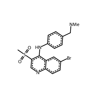 CNCc1ccc(Nc2c(S(C)(=O)=O)cnc3ccc(Br)cc23)cc1